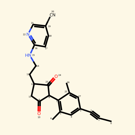 CC#Cc1cc(C)c(C2C(=O)CC(CCNc3ccc(C#N)cn3)C2=O)c(C)c1